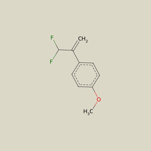 C=C(c1ccc(OC)cc1)C(F)F